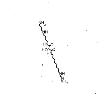 NCCCNCCCCNC(=O)C(O)C(=O)NCCCCCCCCNC=NN